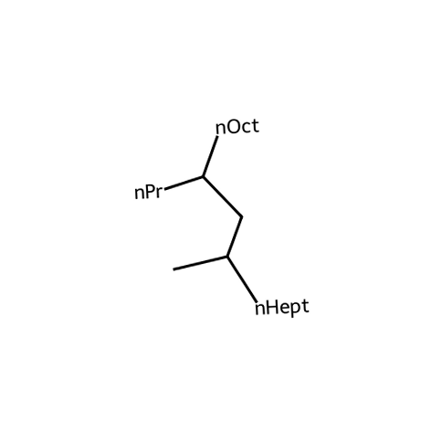 CCCCCCCCC(CCC)CC(C)CCCCCCC